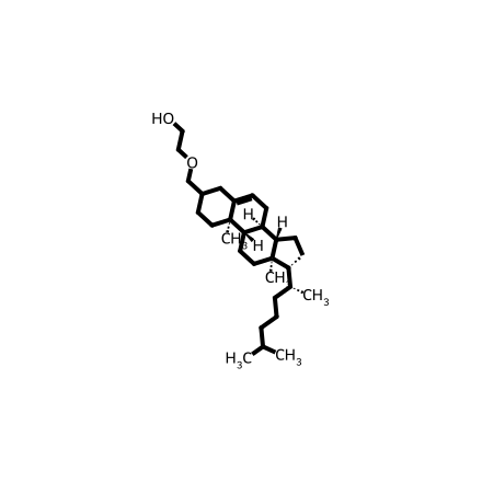 CC(C)CCC[C@@H](C)[C@H]1CC[C@H]2[C@@H]3CC=C4CC(COCCO)CC[C@]4(C)[C@H]3CC[C@]12C